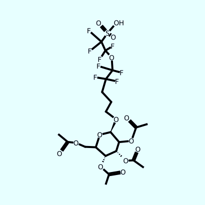 CC(=O)OCC1O[C@@H](OCCCC(F)(F)C(F)(F)OC(F)(F)C(F)(F)S(=O)(=O)O)C(OC(C)=O)[C@H](OC(C)=O)[C@@H]1OC(C)=O